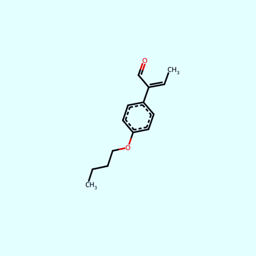 CC=C(C=O)c1ccc(OCCCC)cc1